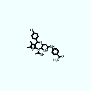 CC(=N)N1C(=N)C(CC(=O)Nc2ccc(C(N)=O)cc2)N=C(c2ccc(Cl)cc2)c2c1sc(C)c2C